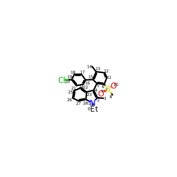 CCn1c(C)c(-c2c(S(C)(=O)=O)ccc(C)c2-c2ccc(Cl)cc2)c2ccccc21